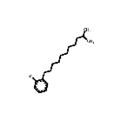 CC(C)CCCCCCCCCc1ccccc1O